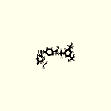 Cc1cnc(NC2CCC(C(=O)NC(C)(C)c3cc(C(F)(F)F)cc(C(F)(F)F)c3)CC2)nc1N(C)C